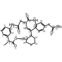 CN(C(=O)OC(C)(C)C)c1cccc(NC(=O)CN2N=C(C3CCCCC3)c3ccc(CC(=O)C(C)(C)C)cc3NC2=O)c1